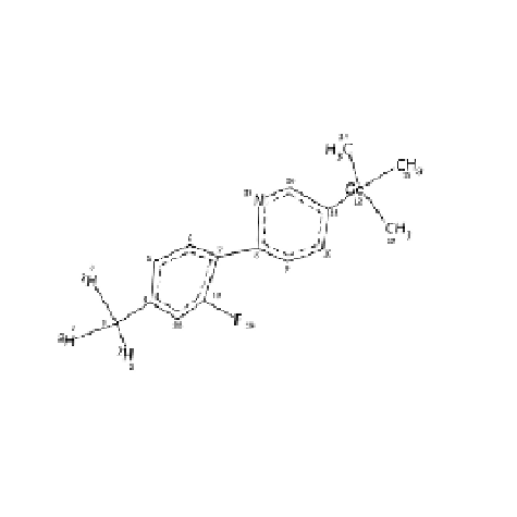 [2H]C([2H])([2H])c1ccc(-c2cc[c]([Ge]([CH3])([CH3])[CH3])cn2)c(F)c1